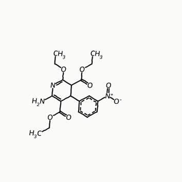 CCOC(=O)C1=C(N)N=C(OCC)C(C(=O)OCC)C1c1cccc([N+](=O)[O-])c1